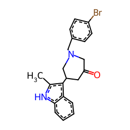 Cc1[nH]c2ccccc2c1C1CC(=O)CN(Cc2ccc(Br)cc2)C1